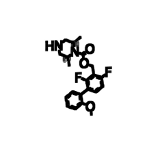 COc1ccccc1-c1ccc(F)c(COC(=O)N2[C@H](C)CNC[C@@H]2C)c1F